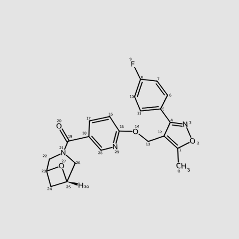 Cc1onc(-c2ccc(F)cc2)c1COc1ccc(C(=O)N2CC3C[C@@H](C2)O3)cn1